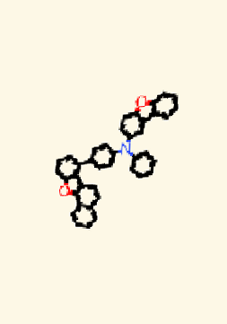 c1ccc(N(c2ccc(-c3cccc4oc5c6ccccc6ccc5c34)cc2)c2ccc3oc4ccccc4c3c2)cc1